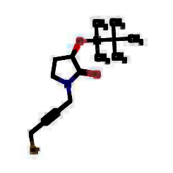 CC(C)(C)[Si](C)(C)O[C@@H]1CCN(CC#CCBr)C1=O